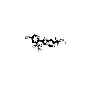 CCS(=O)(=O)c1cc(Br)cnc1-c1cn2cnc(C(F)(F)C(F)(F)F)cc2n1